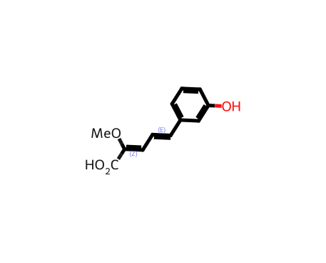 CO/C(=C\C=C\c1cccc(O)c1)C(=O)O